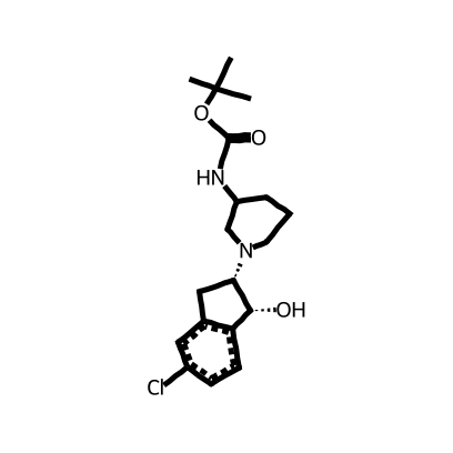 CC(C)(C)OC(=O)NC1CCCN([C@H]2Cc3cc(Cl)ccc3[C@H]2O)C1